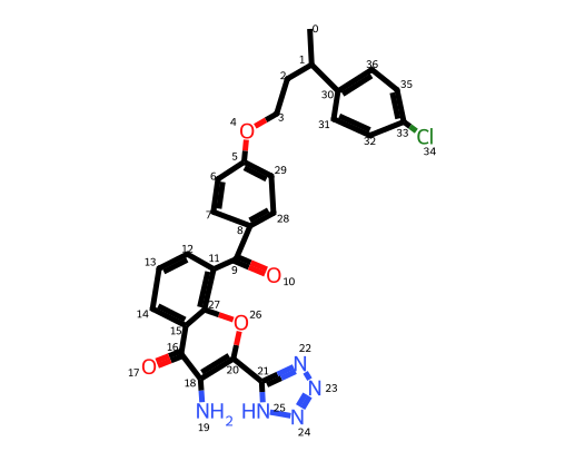 CC(CCOc1ccc(C(=O)c2cccc3c(=O)c(N)c(-c4nnn[nH]4)oc23)cc1)c1ccc(Cl)cc1